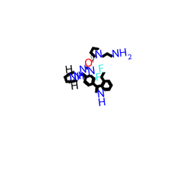 NCCCN1CCC[C@H]1COc1nc(N2C[C@H]3CC[C@@H](C2)N3)c2ccc(-c3c[nH]c4cccc(CCF)c34)c(F)c2n1